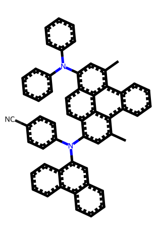 Cc1cc(N(c2ccccc2)c2ccccc2)c2ccc3c(N(c4ccc(C#N)cc4)c4cc5ccccc5c5ccccc45)cc(C)c4c5ccccc5c1c2c34